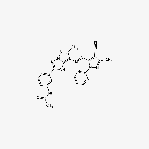 CC(=O)Nc1cccc(-c2nn3nc(C)c(/N=N/c4c(C#N)c(C)nn4-c4ncccn4)c3[nH]2)c1